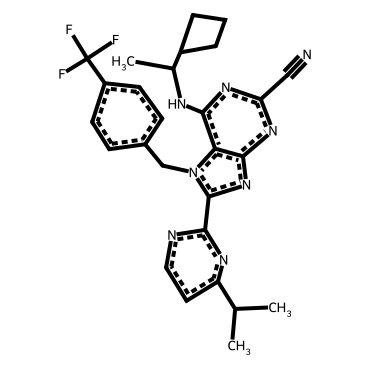 CC(C)c1ccnc(-c2nc3nc(C#N)nc(NC(C)C4CCC4)c3n2Cc2ccc(C(F)(F)F)cc2)n1